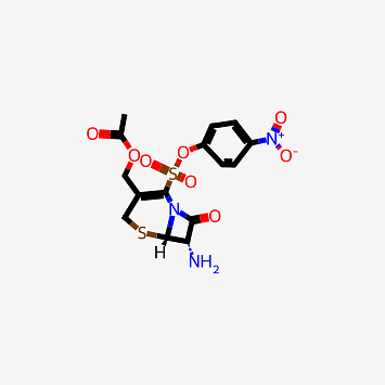 CC(=O)OCC1=C(S(=O)(=O)Oc2ccc([N+](=O)[O-])cc2)N2C(=O)[C@H](N)[C@@H]2SC1